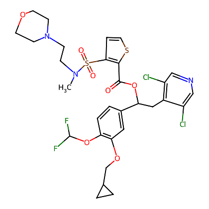 CN(CCN1CCOCC1)S(=O)(=O)c1ccsc1C(=O)OC(Cc1c(Cl)cncc1Cl)c1ccc(OC(F)F)c(OCC2CC2)c1